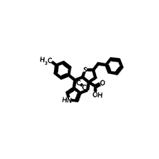 Cc1ccc(C23CCC(c4c[nH]cc42)C2(C(=O)O)CC(Cc4ccccc4)SC32)cc1